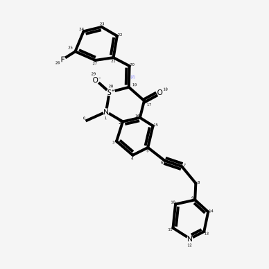 CN1c2ccc(C#CCc3ccncc3)cc2C(=O)/C(=C/c2cccc(F)c2)[S+]1[O-]